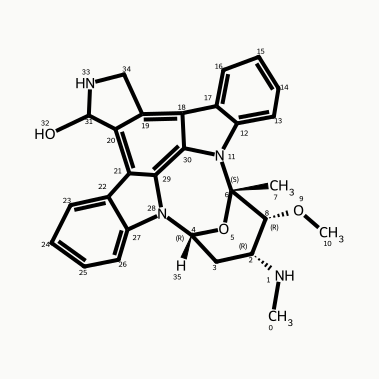 CN[C@@H]1C[C@H]2O[C@@](C)([C@@H]1OC)n1c3ccccc3c3c4c(c5c6ccccc6n2c5c31)C(O)NC4